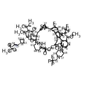 CO[C@@H](C)c1ncc(N2CCN(CC(F)(F)F)CC2)cc1-c1c2c3cc(c(F)cc3n1CC(F)(F)F)-c1csc(n1)C[C@H](NC(=O)[C@H](C(C)C)N(C)C(=O)[C@H]1C[C@H](/C=C/S(C)(=O)=O)C1)C(=O)N1CCC[C@H](N1)C(=O)OCC(C)(C)C2